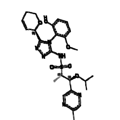 COc1cccc(O)c1-n1c(NS(=O)(=O)[C@@H](C)[C@@H](OC(C)C)c2cnc(C)cn2)nnc1[C@H]1C=CCCO1